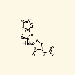 C=C(C)CC1CCC(NC(=C)CC2CC=CS2)B1C